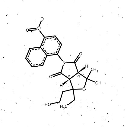 CCC1(CCO)OC(C)(O)[C@H]2C(=O)N(c3ccc([N+](=O)[O-])c4ccccc34)C(=O)[C@H]21